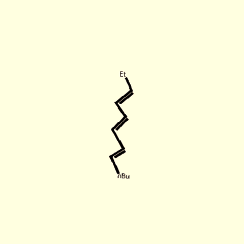 [CH2]CCC/C=C/C=C/C=C/CC